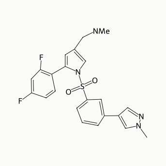 CNCc1cc(-c2ccc(F)cc2F)n(S(=O)(=O)c2cccc(-c3cnn(C)c3)c2)c1